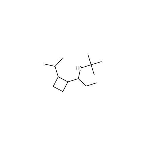 CCC(PC(C)(C)C)C1CCC1C(C)C